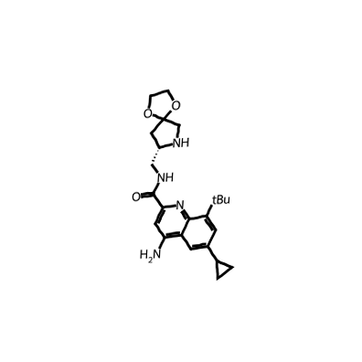 CC(C)(C)c1cc(C2CC2)cc2c(N)cc(C(=O)NC[C@@H]3CC4(CN3)OCCO4)nc12